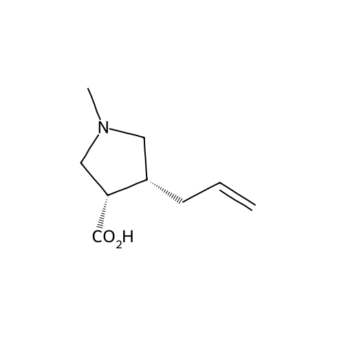 C=CC[C@H]1CN(C)C[C@H]1C(=O)O